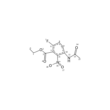 CCOC(=O)c1c(F)ccc(NC(C)=O)c1[N+](=O)[O-]